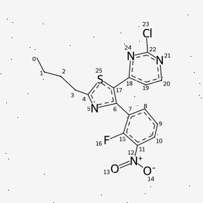 CCCCc1nc(-c2cccc([N+](=O)[O-])c2F)c(-c2ccnc(Cl)n2)s1